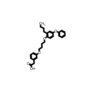 CCCCc1cc(Oc2ccccc2)ccc1OCCCCOc1cccc(CC(=O)O)c1